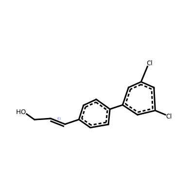 OC/C=C/c1ccc(-c2cc(Cl)cc(Cl)c2)cc1